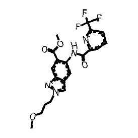 COCCCn1cc2cc(NC(=O)c3cccc(C(F)(F)F)n3)c(C(=O)OC)cc2n1